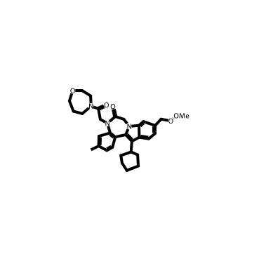 COOCc1ccc2c(C3CCCCC3)c3n(c2c1)CC(=O)N(CC(=O)N1CCCOCC1)c1cc(C)ccc1-3